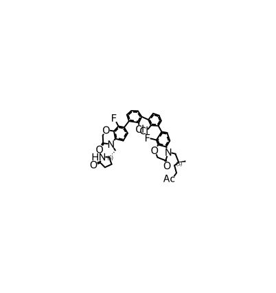 CC(=O)CC[C@H](C)CN1C(=O)COc2c1ccc(-c1cccc(-c3cccc(-c4ccc5c(c4F)OCC(=O)N5C[C@@H]4CCC(=O)N4)c3Cl)c1Cl)c2F